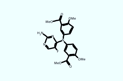 COC(=O)c1cc(N(c2ccc(OC)c(C(=O)OC)c2)c2nc(N)ncc2F)ccc1OC